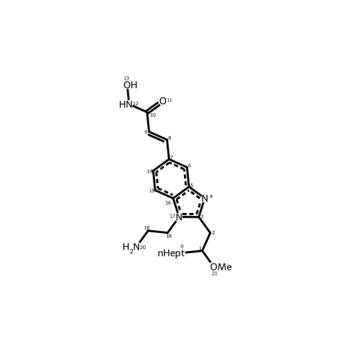 CCCCCCCC(Cc1nc2cc(/C=C/C(=O)NO)ccc2n1CCN)OC